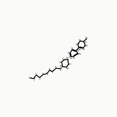 CCCCCCCCCC[C@H]1CC[C@H](c2ccc(C3=CCC(C)CC3)cc2)CC1